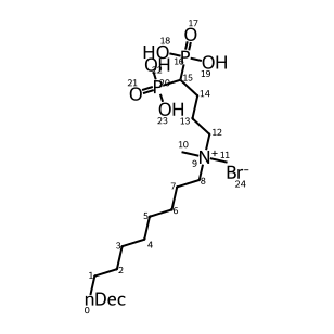 CCCCCCCCCCCCCCCCCC[N+](C)(C)CCCC(P(=O)(O)O)P(=O)(O)O.[Br-]